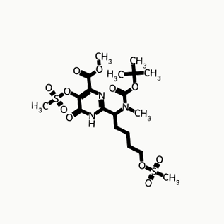 COC(=O)c1nc(C(CCCCOS(C)(=O)=O)N(C)C(=O)OC(C)(C)C)[nH]c(=O)c1OS(C)(=O)=O